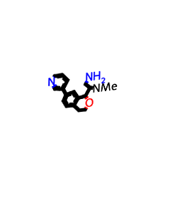 CNC(CN)C1OCCc2ccc(-c3cccnc3)cc21